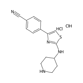 Cl.Cl.N#Cc1ccc(-c2csc(NC3CCNCC3)n2)cc1